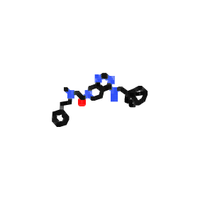 CN(CCc1ccccc1)CC(=O)N1CCc2c(ncnc2NCC2C3CC4CC(C3)CC2C4)C1